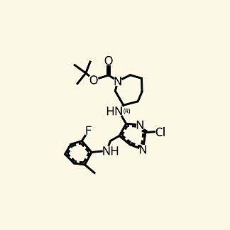 Cc1cccc(F)c1NCc1cnc(Cl)nc1N[C@@H]1CCCCN(C(=O)OC(C)(C)C)C1